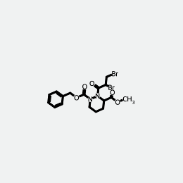 COC(=O)C1CCCN(C(=O)OCc2ccccc2)N1C(=O)C(Br)CBr